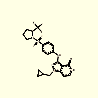 O=c1[nH]ccc2c1c(Nc1ccc(S(=O)(=O)N3CCCC3C(F)(F)F)cc1)nn2CC1CC1